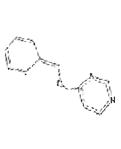 [CH]1C=CC=C/C1=C/Oc1ccncn1